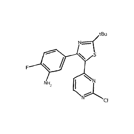 CC(C)(C)c1nc(-c2ccc(F)c(N)c2)c(-c2ccnc(Cl)n2)s1